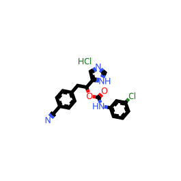 Cl.N#Cc1ccc(CC(OC(=O)Nc2cccc(Cl)c2)c2cnc[nH]2)cc1